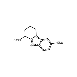 COc1ccc2[nH]c3c(c2c1)CCCC3NC(C)=O